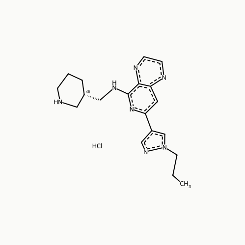 CCCn1cc(-c2cc3nccnc3c(NC[C@H]3CCCNC3)n2)cn1.Cl